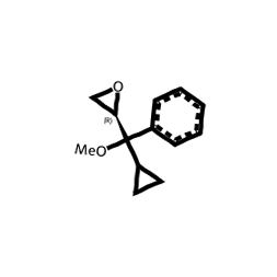 COC(c1ccccc1)(C1CC1)[C@H]1CO1